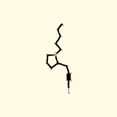 CCCCCN1CCCC1CC#CI